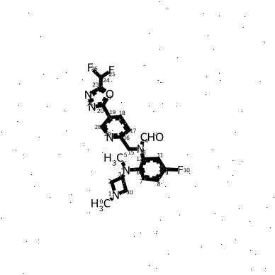 CN1CC(N(C)c2ccc(F)cc2N(C=O)Cc2ccc(-c3nnc(C(F)F)o3)cn2)C1